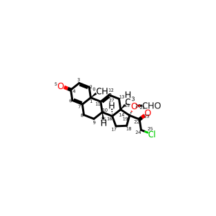 C[C@]12C=CC(=O)C=C1CC[C@@H]1C2=CC[C@@]2(C)[C@H]1CC[C@]2(OC=O)C(=O)CCl